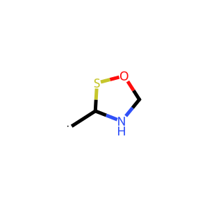 [CH2]C1NCOS1